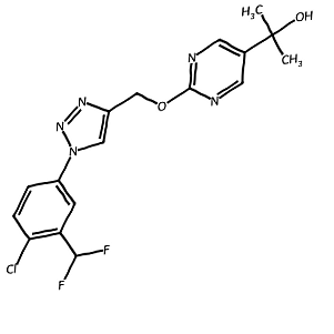 CC(C)(O)c1cnc(OCc2cn(-c3ccc(Cl)c(C(F)F)c3)nn2)nc1